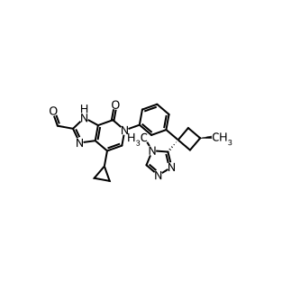 Cn1cnnc1[C@]1(c2cccc(-n3cc(C4CC4)c4nc(C=O)[nH]c4c3=O)c2)C[C@@H](C)C1